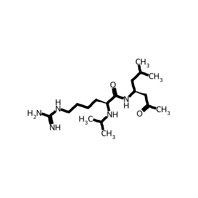 CC(=O)C[C@H](CC(C)C)NC(=O)[C@H](CCCCNC(=N)N)NC(C)C